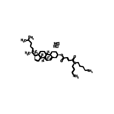 CC(C)CCC[C@@H](C)[C@H]1CC[C@H]2[C@@H]3CC=C4C[C@@H](OC(=O)CCC(=O)N(CCCN)CCCCN)CC[C@]4(C)[C@H]3CC[C@]12C.Cl.Cl